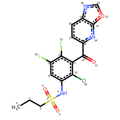 CCCS(=O)(=O)Nc1cc(F)c(F)c(C(=O)c2ccc3ncoc3n2)c1Cl